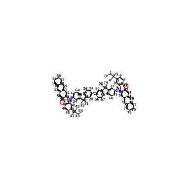 CCC(C)(C)c1ccc2c(c1)N(c1ccc3c(c1)C(C)(C)c1cc(-c4ccc5c(c4)C(C)(C)c4cc(N6c7cc(C(C)(C)CC)ccc7Oc7cc8cc9ccccc9cc8cc76)ccc4-5)ccc1-3)c1cc3cc4ccccc4cc3cc1O2